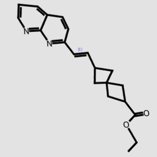 CCOC(=O)C1CC2(CC(/C=C/c3ccc4cccnc4n3)C2)C1